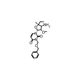 CC[C@@]1(C)O[C@@H](n2ccc(=O)n(COCc3ccccc3)c2=O)[C@H](OC)[C@@H]1N